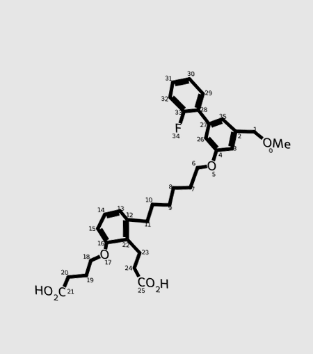 COCc1cc(OCCCCCCc2cccc(OCCCC(=O)O)c2CCC(=O)O)cc(-c2ccccc2F)c1